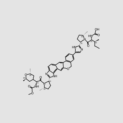 CC[C@H](C)[C@H](NC(=O)O)C(=O)N1[C@@H](C)CC[C@H]1c1ncc(-c2ccc3c(c2)COc2cc4c(ccc5nc([C@@H]6CC[C@H](C)N6C(=O)[C@@H](NC(=O)OC)C6C[C@@H](C)O[C@H](C)C6)[nH]c54)cc2-3)[nH]1